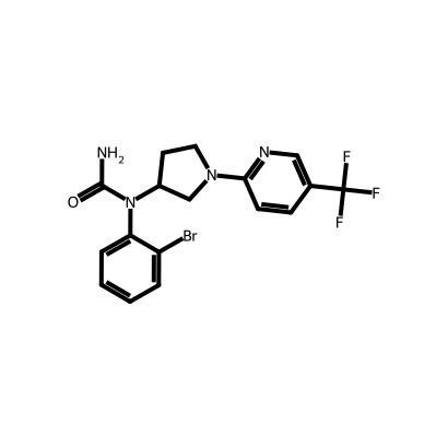 NC(=O)N(c1ccccc1Br)C1CCN(c2ccc(C(F)(F)F)cn2)C1